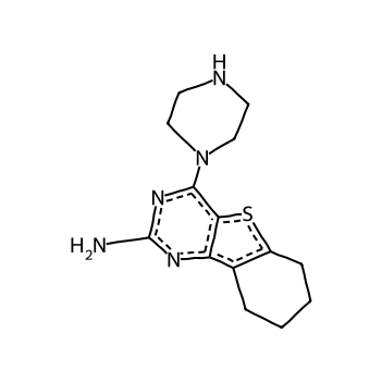 Nc1nc(N2CCNCC2)c2sc3c(c2n1)CCCC3